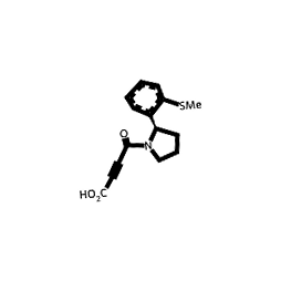 CSc1ccccc1[C@H]1CCCN1C(=O)C#CC(=O)O